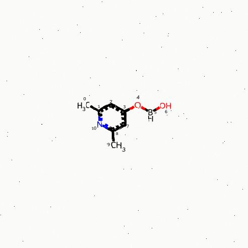 Cc1cc(OBO)cc(C)n1